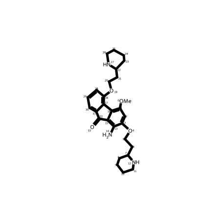 COc1cc(OCCC2CCCCN2)c(N)c2c1-c1c(OCCC3CCCCN3)cccc1C2=O